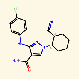 N=C[C@H]1CCCC[C@@H]1n1cc(C(N)=O)c(Nc2ccc(Cl)cc2)n1